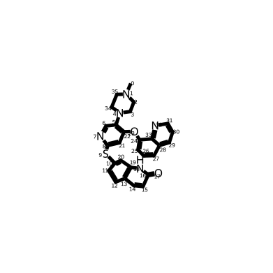 CN1CCN(c2cnc(Sc3ccc4ccc(=O)[nH]c4c3)cc2Oc2cccc3cccnc23)CC1